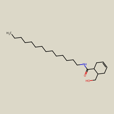 CCCCCCCCCCCCCCNC(=O)C1CC=CCC1CO